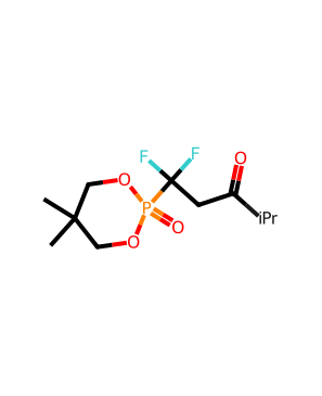 CC(C)C(=O)CC(F)(F)P1(=O)OCC(C)(C)CO1